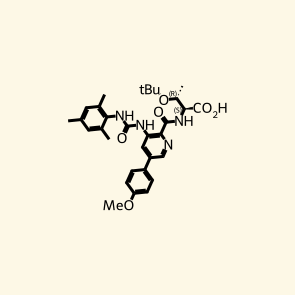 COc1ccc(-c2cnc(C(=O)N[C@H](C(=O)O)[C@@H](C)OC(C)(C)C)c(NC(=O)Nc3c(C)cc(C)cc3C)c2)cc1